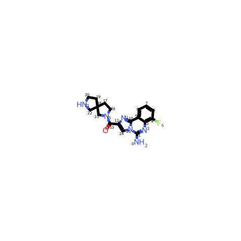 Nc1nc2c(F)cccc2c2nc(C(=O)N3CCC4(CCNC4)C3)cn12